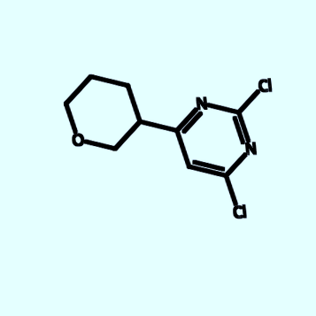 Clc1cc(C2CCCOC2)nc(Cl)n1